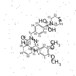 COc1ccc(C2=NN(Cc3ccc(C(O)(O)N4CCSCC4)cc3)C(=O)[C@@H]3CC=CC[C@H]23)cc1OC